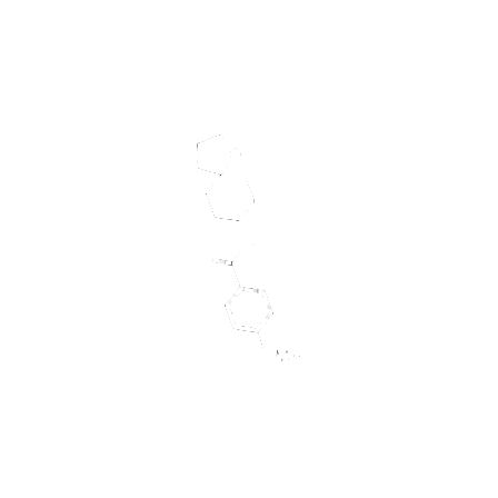 COc1ccc(C(=O)O[C@H]2CC[C@@]3(CCCO3)CC2)cc1